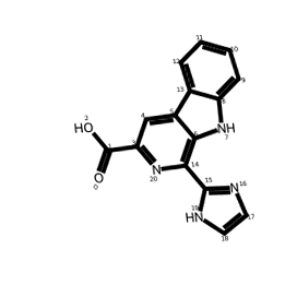 O=C(O)c1cc2c([nH]c3ccccc32)c(-c2ncc[nH]2)n1